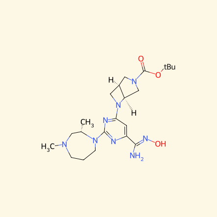 C[C@H]1CN(C)CCCN1c1nc(/C(N)=N/O)cc(N2C[C@H]3CN(C(=O)OC(C)(C)C)C[C@H]32)n1